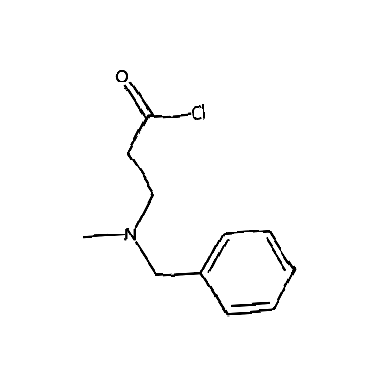 CN(CCC(=O)Cl)Cc1ccccc1